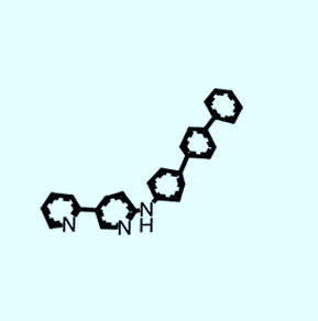 c1ccc(-c2ccc(-c3ccc(Nc4ccc(-c5ccccn5)cn4)cc3)cc2)cc1